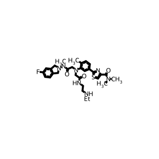 CCNCCNC(=O)CN(CC(=O)N(C)N1Cc2ccc(F)cc2C1)c1cc(-c2nc(C(=O)N(C)C)cs2)ccc1C